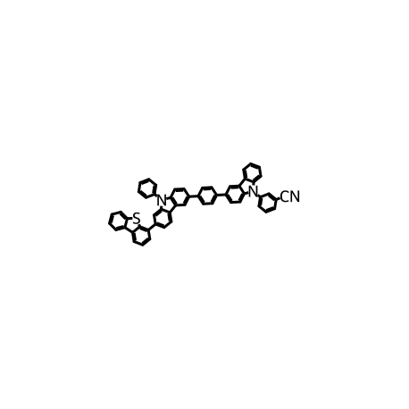 N#Cc1cccc(-n2c3ccccc3c3cc(-c4ccc(-c5ccc6c(c5)c5ccc(-c7cccc8c7sc7ccccc78)cc5n6-c5ccccc5)cc4)ccc32)c1